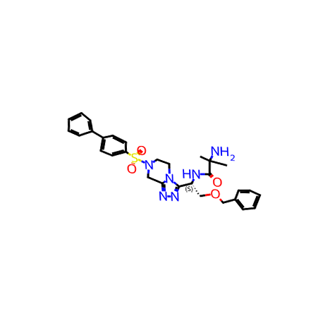 CC(C)(N)C(=O)N[C@H](COCc1ccccc1)c1nnc2n1CCN(S(=O)(=O)c1ccc(-c3ccccc3)cc1)C2